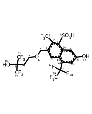 O=S(=O)(O)c1c(C(F)(F)F)c(COCCC(O)(C(F)(F)F)C(F)(F)F)cc2c(C(F)(F)C(F)(F)F)cc(O)cc12